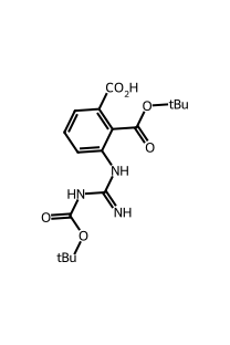 CC(C)(C)OC(=O)NC(=N)Nc1cccc(C(=O)O)c1C(=O)OC(C)(C)C